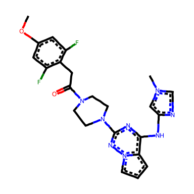 COc1cc(F)c(CC(=O)N2CCN(c3nc(Nc4cn(C)cn4)c4cccn4n3)CC2)c(F)c1